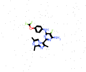 Cc1cn2c(-c3nc(N)c(F)c(Nc4ccc(OC(F)F)cc4)n3)c(C)nc2c(C)n1